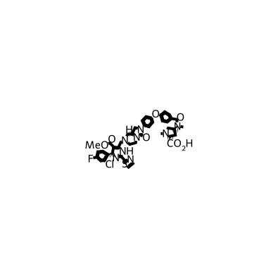 COC(=O)C1=C(CN2CCN3C(=O)N(c4ccc(Oc5ccc(C(=O)N(C)[C@H]6C[C@H](C(=O)O)N(C)C6)cc5)cc4)C[C@@H]3C2)NC(c2nccs2)=N[C@H]1c1ccc(F)cc1Cl